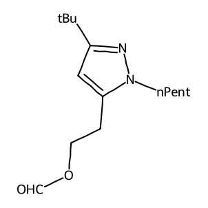 CCCCCn1nc(C(C)(C)C)cc1CCOC=O